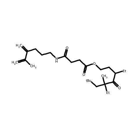 C=C(C)C(=C)CCCNC(=O)CCC(=O)OCCC(CC)C(=O)C(C)(CC)CC(C)(C)C